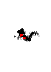 CCOc1nc2cccc(C(=O)OCOC(=O)C(C)C)c2n1Cc1ccc(-n2cc(C)cc2-c2nnnn2C(c2ccccc2)(c2ccccc2)c2ccccc2)cc1